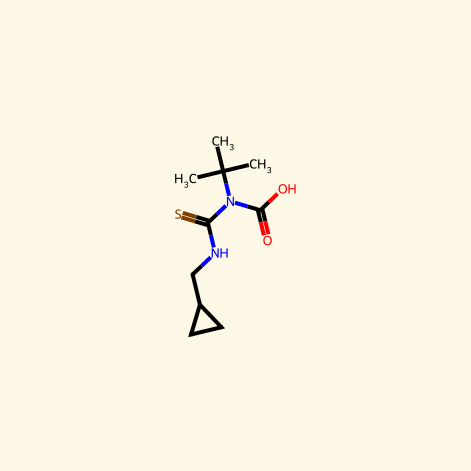 CC(C)(C)N(C(=O)O)C(=S)NCC1CC1